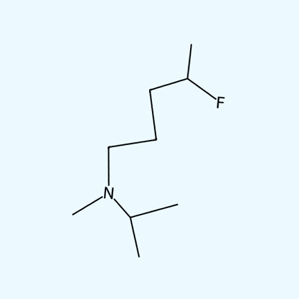 CC(F)CCCN(C)C(C)C